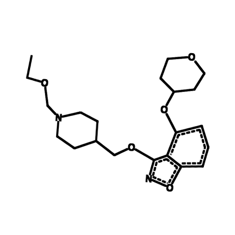 CCOCN1CCC(COc2noc3cccc(OC4CCOCC4)c23)CC1